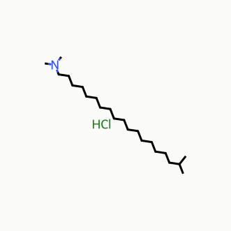 CC(C)CCCCCCCCCCCCCCCCCN(C)C.Cl